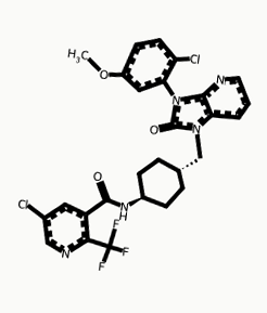 COc1ccc(Cl)c(-n2c(=O)n(C[C@H]3CC[C@H](NC(=O)c4cc(Cl)cnc4C(F)(F)F)CC3)c3cccnc32)c1